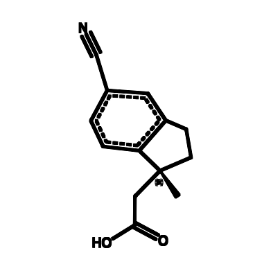 C[C@]1(CC(=O)O)CCc2cc(C#N)ccc21